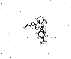 C=CCOC(=O)N1CCC[C@@H](C)[C@H]1CNc1ccc(CF)cn1